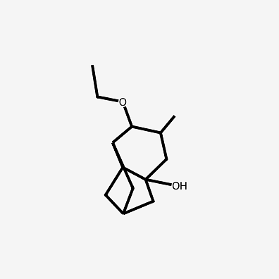 CCOC1C(C)CC2(O)CC3CC1C2C3